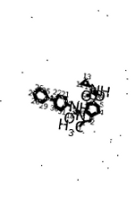 CC1Cc2ccc(S(=O)(=O)NC3CC3)cc2N1C(=O)Nc1ccc(-c2ccccc2)cc1